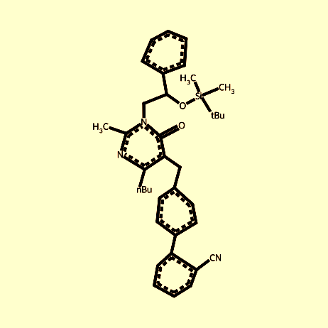 CCCCc1nc(C)n(CC(O[Si](C)(C)C(C)(C)C)c2ccccc2)c(=O)c1Cc1ccc(-c2ccccc2C#N)cc1